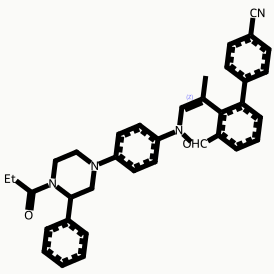 CCC(=O)N1CCN(c2ccc(N(C)/C=C(/C)c3c(C=O)cccc3-c3ccc(C#N)cc3)cc2)CC1c1ccccc1